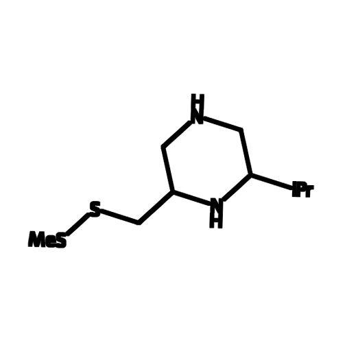 CSSCC1CNCC(C(C)C)N1